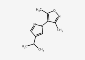 Cc1noc(C)c1-n1cc(C(C)C)cn1